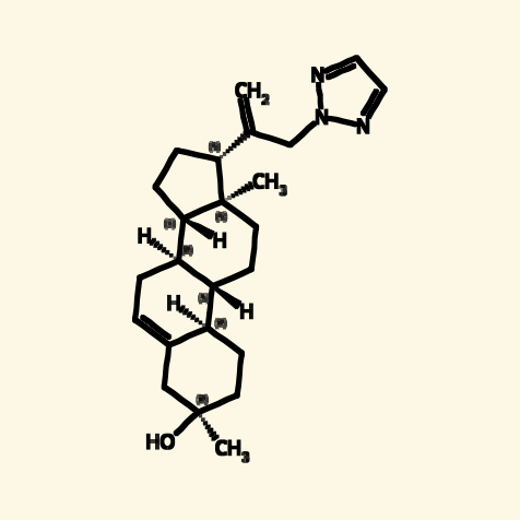 C=C(Cn1nccn1)[C@H]1CC[C@H]2[C@@H]3CC=C4C[C@](C)(O)CC[C@@H]4[C@H]3CC[C@]12C